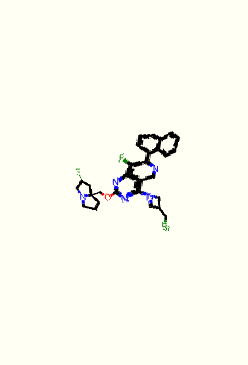 Fc1c(-c2cccc3ccccc23)ncc2c(N3CC(CBr)C3)nc(OC[C@@]34CCCN3C[C@H](F)C4)nc12